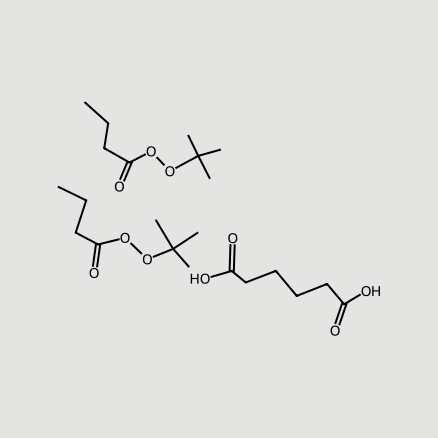 CCCC(=O)OOC(C)(C)C.CCCC(=O)OOC(C)(C)C.O=C(O)CCCCC(=O)O